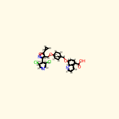 O=C(O)c1ccc(OCC23CCC(OCc4c(-c5c(Cl)cncc5Cl)noc4C4CC4)(CC2)CC3)c2ncccc12